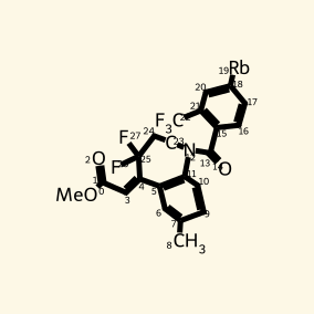 COC(=O)/C=C1/c2cc(C)ccc2N(C(=O)c2cc[c]([Rb])cc2C(F)(F)F)CCC1(F)F